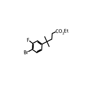 CCOC(=O)CCC(C)(C)c1ccc(Br)c(F)c1